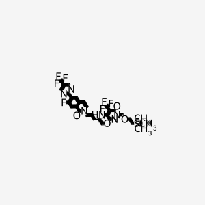 C[Si](C)(C)CCOCn1ncc(N[C@@H](C=O)CCCn2ccc3cc(-c4ncc(C(F)(F)F)cn4)c(F)cc3c2=O)c(C(F)(F)F)c1=O